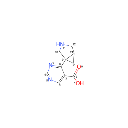 O=C(O)c1cn[c]nc1C12CNCC1C2